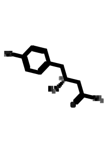 N#Cc1ccc(C[C@@H](N)CC(N)=O)cc1